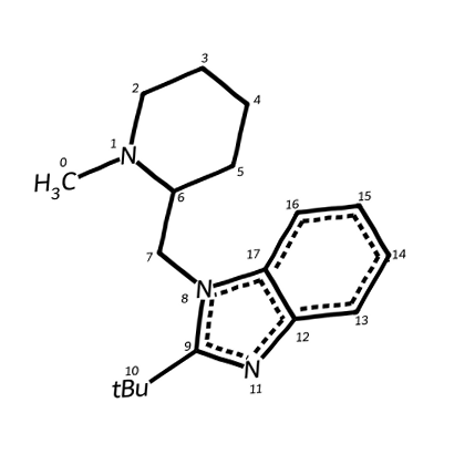 CN1CCCCC1Cn1c(C(C)(C)C)nc2c[c]ccc21